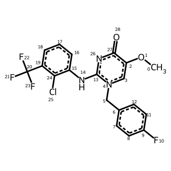 COc1cn(Cc2ccc(F)cc2)c(Nc2cccc(C(F)(F)F)c2Cl)nc1=O